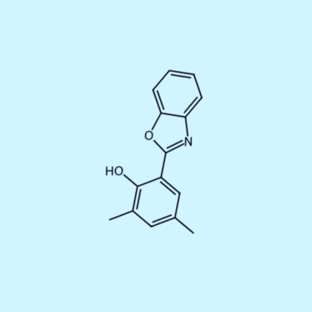 Cc1cc(C)c(O)c(-c2nc3ccccc3o2)c1